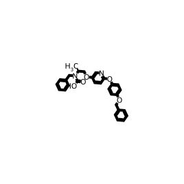 C[C@@H](COc1ccc(Oc2ccc(OCc3ccccc3)cc2)nc1)N(Cc1ccccc1)C(=O)O